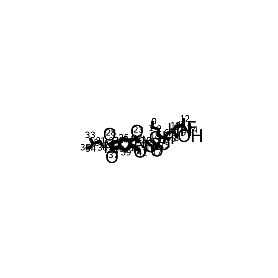 CCCCC(C)(CC(CO)CC(C)NF)OP(=O)(O)OCn1c(=O)c2cc3c(=O)n(CCC(C)CC)c(=O)c3cc2c1=O